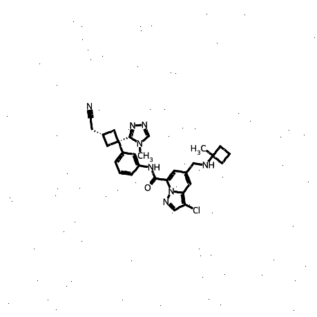 Cn1cnnc1[C@]1(c2cccc(NC(=O)c3cc(CNC4(C)CCC4)cc4c(Cl)cnn34)c2)C[C@H](CC#N)C1